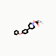 O=C(ON1CCC(c2ccc(Oc3ccccc3)cc2)CC1)C(F)(F)F